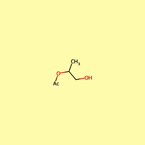 CC(=O)OC(C)CO